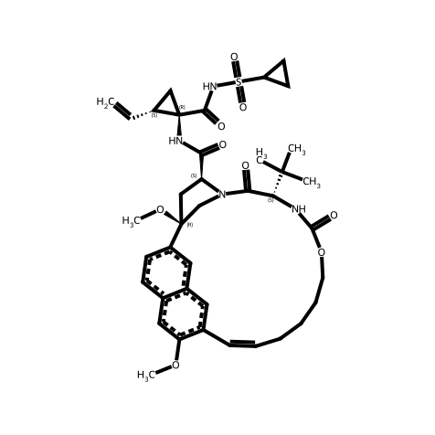 C=C[C@@H]1C[C@]1(NC(=O)[C@@H]1C[C@]2(OC)CN1C(=O)[C@H](C(C)(C)C)NC(=O)OCCCCC=Cc1cc3cc2ccc3cc1OC)C(=O)NS(=O)(=O)C1CC1